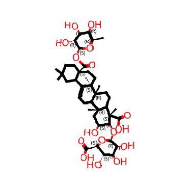 C[C@H]1O[C@@H](OC(=O)[C@]23CCC(C)(C)CC2C2=CCC4[C@@]5(C)C[C@H](O)[C@H](O[C@@H]6O[C@H](C(=O)O)[C@@H](O)[C@H](O)[C@H]6O)[C@@](C)(C(=O)O)C5CC[C@@]4(C)[C@]2(C)CC3)[C@H](O)[C@@H](O)[C@H]1O